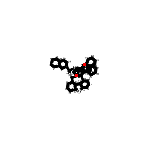 c1ccc2cc(C3=NC(c4cccc5oc6cccc(-c7cccc8oc9ccccc9c78)c6c45)NC(c4ccc5ccccc5c4)=N3)ccc2c1